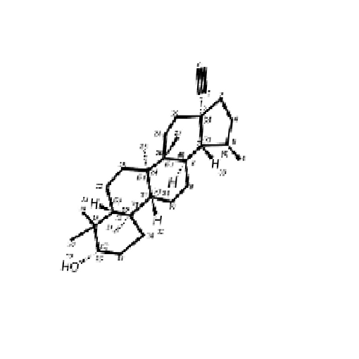 C#C[C@]12CC[C@@H](C)[C@@H]1[C@H]1CC[C@@H]3[C@@]4(C)CC[C@H](O)C(C)(C)[C@@H]4CC[C@@]3(C)[C@]1(C)CC2